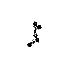 O=C(Nc1cccc(C2CCN(CCCNC(=O)C(c3ccccc3)c3ccccc3)CC2)c1)OCc1ccccc1